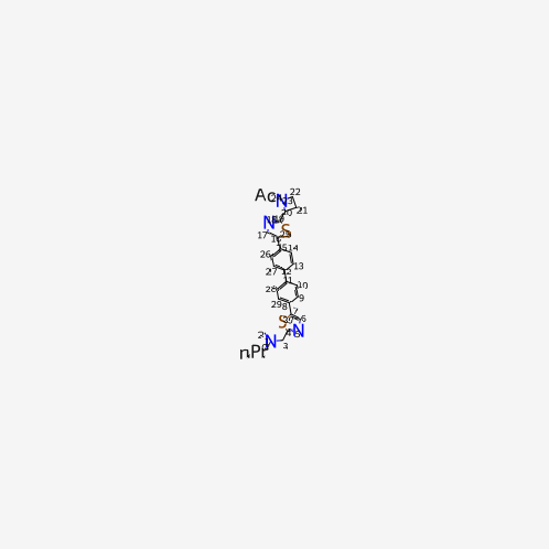 CCCN(C)Cc1ncc(-c2ccc(-c3ccc(-c4cnc(C5CCN5C(C)=O)s4)cc3)cc2)s1